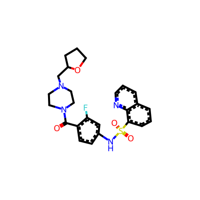 O=C(c1ccc(NS(=O)(=O)c2cccc3cccnc23)cc1F)N1CCN(CC2CCCO2)CC1